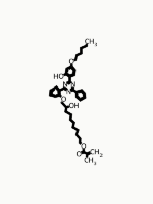 C=C(C)C(=O)OCCCCCCCCCC(O)COc1ccccc1-c1nc(-c2ccccc2)nc(-c2ccc(OCCCCCC)cc2O)n1